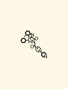 Cc1cccc2nc(C(=O)NCC(=O)N3CCN(c4ccncc4)CC3)n(Cc3ccccc3)c12